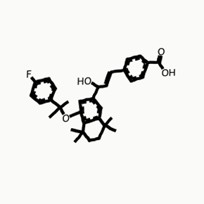 CC1(C)CCC(C)(C)c2c(OC(C)(C)c3ccc(F)cc3)cc(C(O)C=Cc3ccc(C(=O)O)cc3)cc21